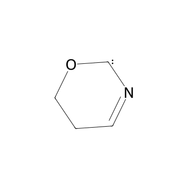 [C]1N=CCCO1